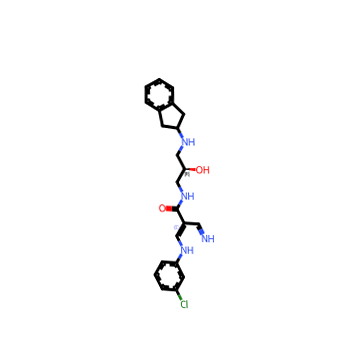 N=C/C(=C\Nc1cccc(Cl)c1)C(=O)NC[C@H](O)CNC1Cc2ccccc2C1